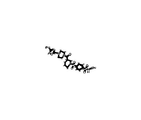 CC(C)c1noc(N2CCN(C(=O)C3CCCN(S(=O)(=O)c4ccc(S(=O)(=O)NC(C)(C)C)cc4)C3)CC2)n1